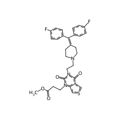 COC(=O)CCn1c(=O)n(CCN2CCC(=C(c3ccc(F)cc3)c3ccc(F)cc3)CC2)c(=O)c2cscc21